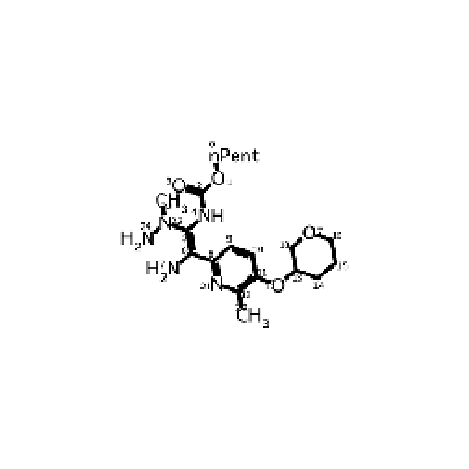 CCCCCOC(=O)N/C(=C(/N)c1ccc(OC2CCCOC2)c(C)n1)N(C)N